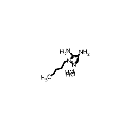 CCCCCn1ncc(N)c1N.Cl.Cl